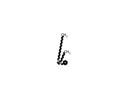 CCCCCCCCCCCCCCCCCN1C=CN(Cc2ccccc2)C1CCCCCCC